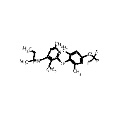 CCC(C)Nc1cc(C)nc(Oc2c(C)cc(OC(F)(F)F)cc2C)c1C